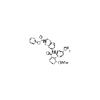 COc1cccc(C(=O)Nc2ccc3c(c2)CN(C(=O)Oc2ccccc2)CC3)c1-c1ccc(C(F)(F)F)cc1